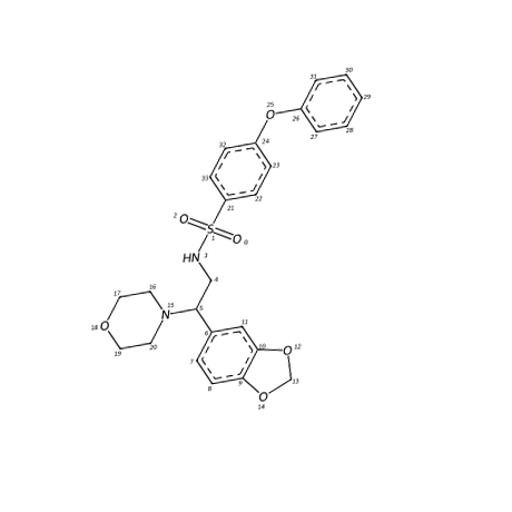 O=S(=O)(NCC(c1ccc2c(c1)OCO2)N1CCOCC1)c1ccc(Oc2ccccc2)cc1